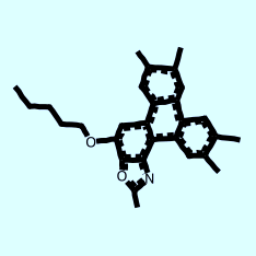 CCCCCOc1cc2c3cc(C)c(C)cc3c3cc(C)c(C)cc3c2c2nc(C)oc12